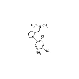 CN(C)CC1CCCN1c1cc(N)c([N+](=O)[O-])cc1Cl